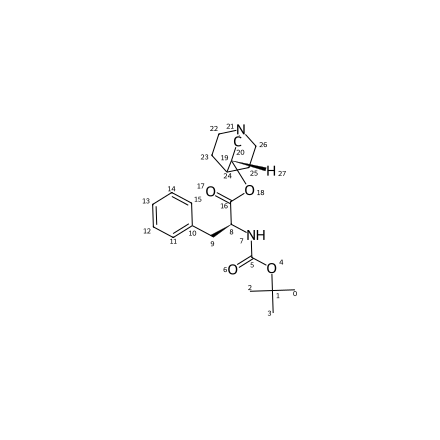 CC(C)(C)OC(=O)N[C@@H](Cc1ccccc1)C(=O)O[C@H]1CN2CCC1CC2